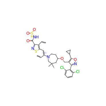 C=C/C(=C\c1snc(C(=O)N[SH](=O)=O)c1C=C)N1CCC(OCc2c(-c3c(Cl)cccc3Cl)noc2C2CC2)CC(C)(C)C1